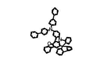 c1ccc(-c2ccc(N(c3ccc(-c4ccccc4)cc3)c3ccc4c(c3)c3c5oc6ccccc6c5cc5c3n4-c3ccccc3C53c4ccccc4-c4ccccc43)cc2)cc1